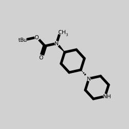 CN(C(=O)OC(C)(C)C)[C@H]1CC[C@H](N2CCNCC2)CC1